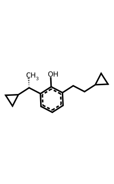 C[C@H](c1cccc(CCC2CC2)c1O)C1CC1